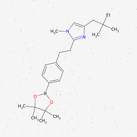 CCC(C)(C)Cc1cn(C)c(CCc2ccc(B3OC(C)(C)C(C)(C)O3)cc2)n1